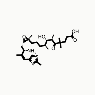 CC(=Cc1csc(C)n1)[C@@H](N)C[C@@H]1O[C@]1(C)CCC[C@H](C)[C@H](O)[C@@H](C)C(=O)C(C)(C)CCC(=O)O